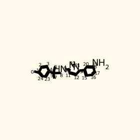 Cc1ccc(C(C)(C)CNc2ccc(-c3cccc(N)c3)nn2)cc1